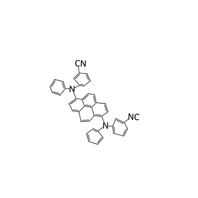 [C-]#[N+]c1cccc(N(c2ccccc2)c2ccc3ccc4c(N(c5ccccc5)c5cccc(C#N)c5)ccc5ccc2c3c54)c1